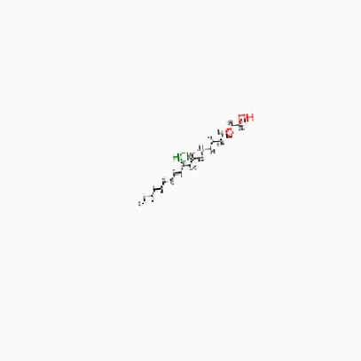 CCCCCCCCCCCCCCCCCCOCCO.Cl